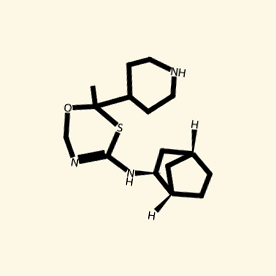 CC1(C2CCNCC2)OCN=C(N[C@H]2C[C@@H]3CC[C@H]2C3)S1